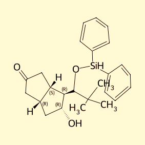 CC(C)(C)C(O[SiH](c1ccccc1)c1ccccc1)[C@@H]1[C@H]2CC(=O)C[C@H]2C[C@H]1O